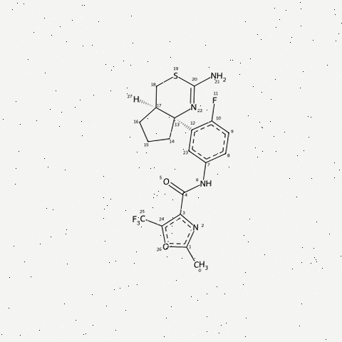 Cc1nc(C(=O)Nc2ccc(F)c([C@]34CCC[C@H]3CSC(N)=N4)c2)c(C(F)(F)F)o1